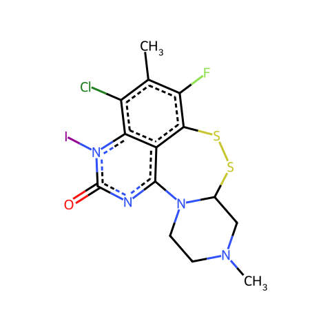 Cc1c(F)c2c3c(nc(=O)n(I)c3c1Cl)N1CCN(C)CC1SS2